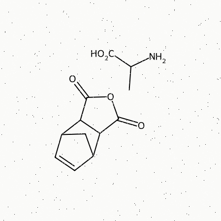 CC(N)C(=O)O.O=C1OC(=O)C2C3C=CC(C3)C12